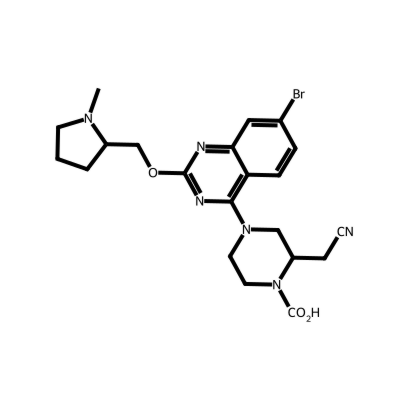 CN1CCCC1COc1nc(N2CCN(C(=O)O)C(CC#N)C2)c2ccc(Br)cc2n1